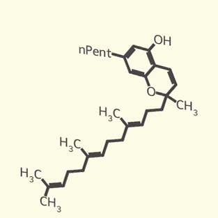 CCCCCc1cc(O)c2c(c1)OC(C)(CC/C=C(\C)CC/C=C(\C)CCC=C(C)C)C=C2